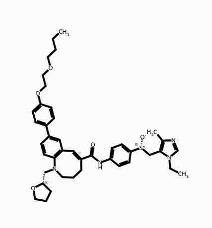 CCCCOCCOc1ccc(-c2ccc3c(c2)/C=C(/C(=O)Nc2ccc([S@+]([O-])Cc4c(C)ncn4CC)cc2)CCCN3C[C@@H]2CCCO2)cc1